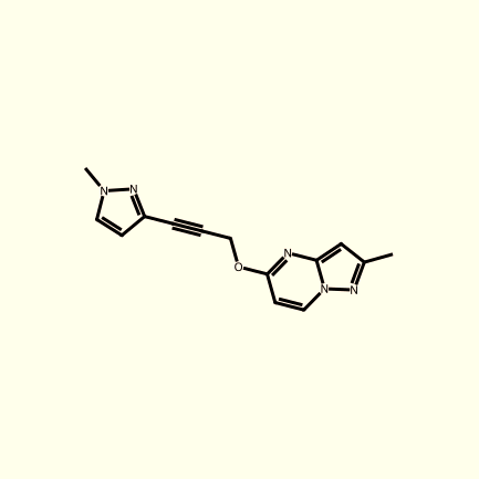 Cc1cc2nc(OCC#Cc3ccn(C)n3)ccn2n1